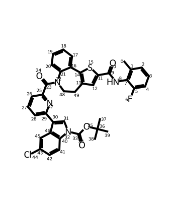 Cc1cccc(F)c1NC(=O)c1cc2c(s1)-c1ccccc1N(C(=O)c1cccc(-c3cn(C(=O)OC(C)(C)C)c4ccc(Cl)cc34)n1)CC2